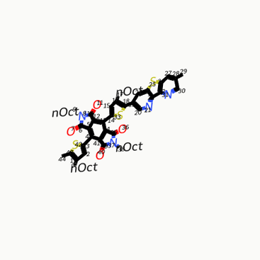 CCCCCCCCc1cc(-c2c3c(=O)n(CCCCCCCC)c(=O)c3c(-c3cc(CCCCCCCC)c(-c4cnc5c(c4)sc4cc(C)cnc45)s3)c3c(=O)n(CCCCCCCC)c(=O)c23)sc1C